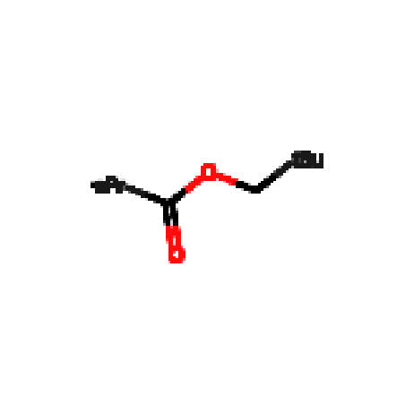 CC[CH]C(=O)OCC(C)(C)C